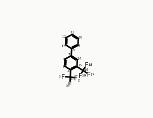 FC(F)(F)c1ccc(-c2ccccc2)cc1C(F)(F)F